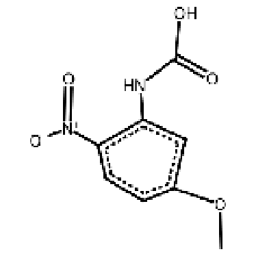 COc1ccc([N+](=O)[O-])c(NC(=O)O)c1